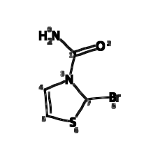 NC(=O)N1C=CSC1Br